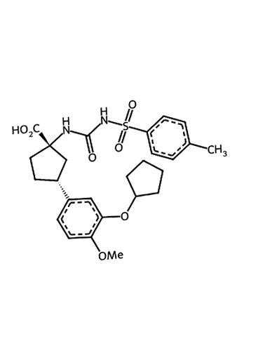 COc1ccc([C@@H]2CC[C@@](NC(=O)NS(=O)(=O)c3ccc(C)cc3)(C(=O)O)C2)cc1OC1CCCC1